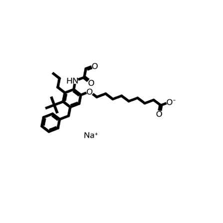 CCCc1c(NC(=O)C=O)c(OCCCCCCCCC(=O)[O-])cc(Cc2ccccc2)c1C(C)(C)C.[Na+]